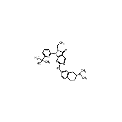 CCn1c(=O)c2cnc(Nc3ccc4c(c3)CC(N(C)C)CC4)nc2n1-c1cccc(C(C)(C)O)n1